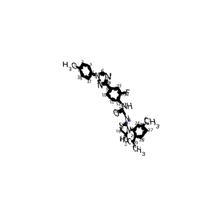 Cc1ccc(-n2cnc(-c3ccc(NC(=O)/N=C4\SCC(=O)N4c4cc(C)ccc4C(C)C)c(F)c3)n2)cc1